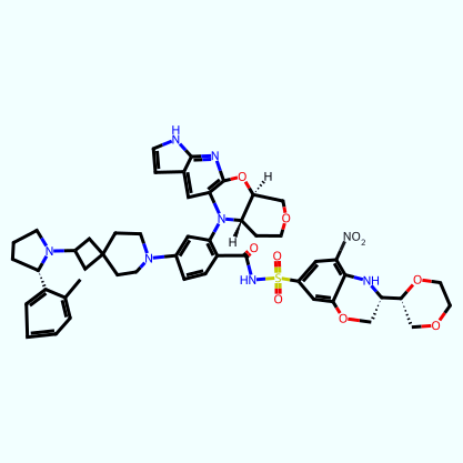 Cc1ccccc1[C@@H]1CCCN1C1CC2(CCN(c3ccc(C(=O)NS(=O)(=O)c4cc5c(c([N+](=O)[O-])c4)N[C@H]([C@H]4COCCO4)CO5)c(N4c5cc6cc[nH]c6nc5O[C@H]5COCC[C@@H]54)c3)CC2)C1